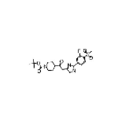 CC(C)(C)OC(=O)N1CCC(C(=O)CC2=NC(c3ccc(S(C)(=O)=O)c(F)c3)=NC2)CC1